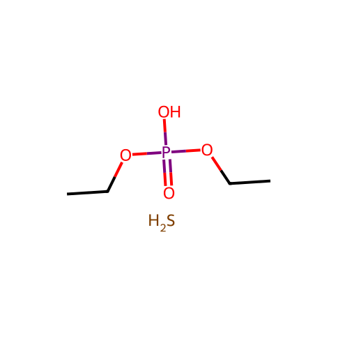 CCOP(=O)(O)OCC.S